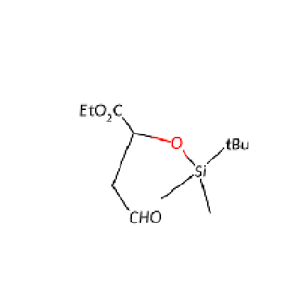 CCOC(=O)C(CC=O)O[Si](C)(C)C(C)(C)C